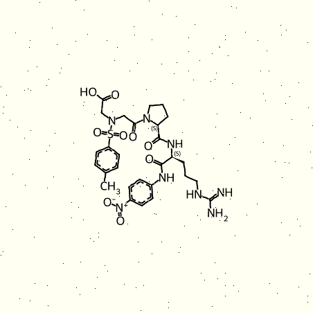 Cc1ccc(S(=O)(=O)N(CC(=O)O)CC(=O)N2CCC[C@H]2C(=O)N[C@@H](CCCNC(=N)N)C(=O)Nc2ccc([N+](=O)[O-])cc2)cc1